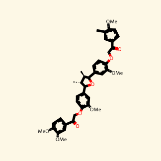 COc1ccc(C(=O)COc2ccc(C3OC(c4ccc(OCC(=O)c5ccc(OC)c(OC)c5)c(OC)c4)[C@H](C)[C@H]3C)cc2OC)cc1C